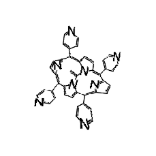 C=c1n2c3ccc2c(-c2ccncc2)c2nc(c(-c4ccncc4)c4ccc(c(-c5ccncc5)c5nc(c3-c3ccncc3)C=C5)n14)C=C2